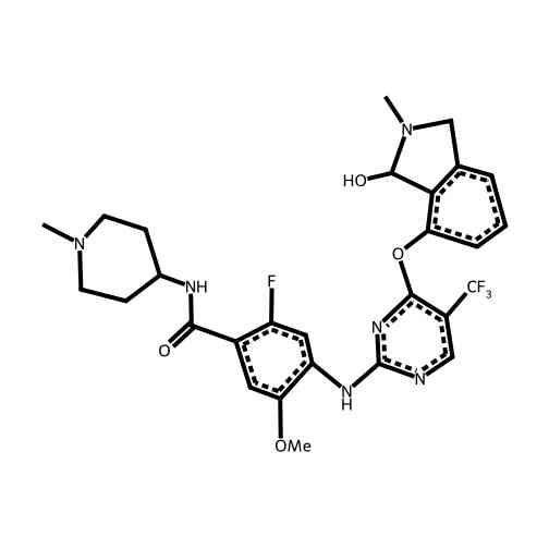 COc1cc(C(=O)NC2CCN(C)CC2)c(F)cc1Nc1ncc(C(F)(F)F)c(Oc2cccc3c2C(O)N(C)C3)n1